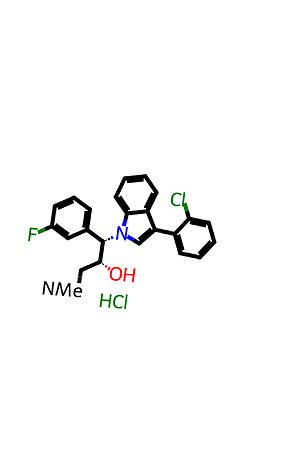 CNC[C@@H](O)[C@H](c1cccc(F)c1)n1cc(-c2ccccc2Cl)c2ccccc21.Cl